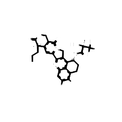 CCC[C@@]1(O)C(=O)OCc2c1cc1n(c2=O)Cc2c-1nc1cc(F)c(Cl)c3c1c2[C@@H](NC(=O)[C@](C)(O)C(F)(F)F)CC3